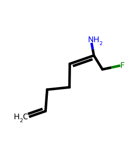 C=CCC/C=C(/N)CF